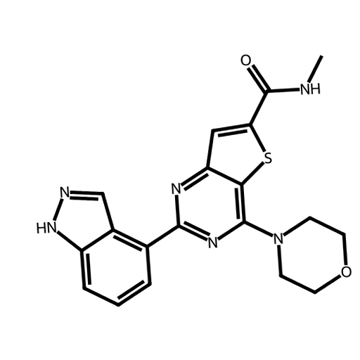 CNC(=O)c1cc2nc(-c3cccc4[nH]ncc34)nc(N3CCOCC3)c2s1